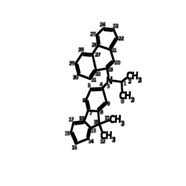 CC(C)N(c1ccc2c(c1)C(C)(C)c1ccccc1-2)c1cc2ccccc2c2ccccc12